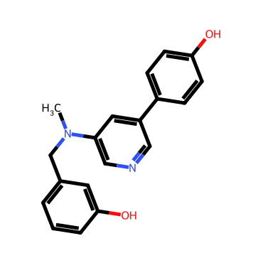 CN(Cc1cccc(O)c1)c1cncc(-c2ccc(O)cc2)c1